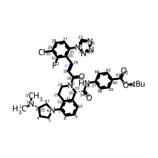 CN(C)[C@H]1CCN(c2cccc3c2CCN(C(=O)/C=C/c2c(-n4cnnn4)ccc(Cl)c2F)[C@@H]3C(=O)Nc2ccc(C(=O)OC(C)(C)C)cc2)C1